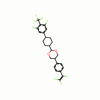 FC(F)=C(F)c1ccc(C2COC(C3CCC(c4cc(F)c(C(F)(F)F)c(F)c4)CC3)OC2)cc1